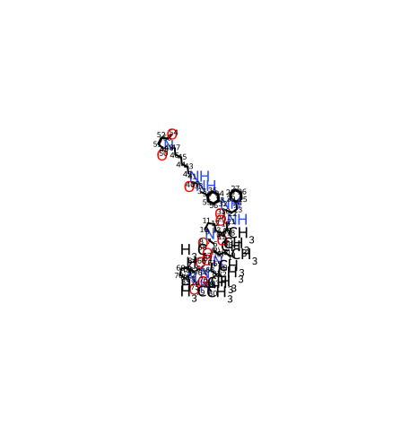 CC[C@H](C)[C@@H]([C@@H](CC(=O)N1CCCC1[C@H](OC)[C@@H](C)C(=O)NC(Cc1ccccc1)C(=O)Nc1ccc(CNC(=O)NCCCCCCN2C(=O)C=CC2=O)cc1)OC)N(C)C(=O)C(NC(=O)[C@@H]1[C@H]2CC[C@H](C2)N1C(=O)OC(C)(C)C)C(C)C